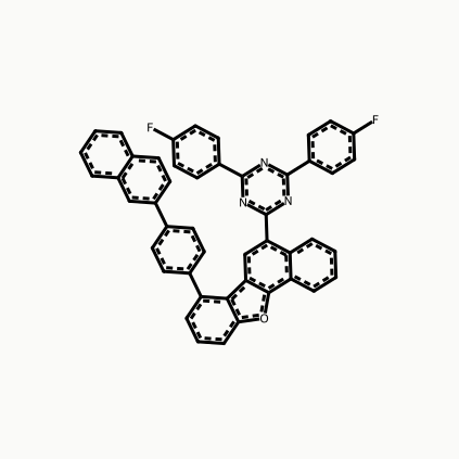 Fc1ccc(-c2nc(-c3ccc(F)cc3)nc(-c3cc4c(oc5cccc(-c6ccc(-c7ccc8ccccc8c7)cc6)c54)c4ccccc34)n2)cc1